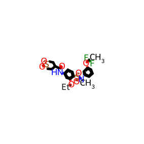 CCOc1cc(NC(=O)C2CCS(=O)(=O)CC2)ccc1S(=O)(=O)N(C)c1cccc(OC(C)(F)F)c1